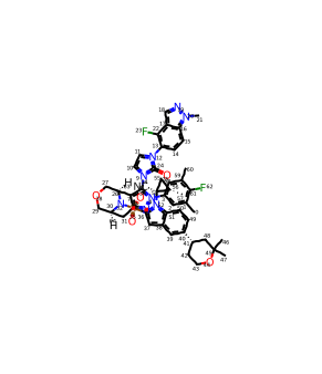 Cc1cc(-n2nc3c(c2-n2ccn(-c4ccc5c(cnn5C)c4F)c2=O)[C@@H]2COC[C@H](C3)N2S(=O)(=O)c2cc3cc([C@H]4CCOC(C)(C)C4)ccc3n2[C@@]2(C#N)C[C@@H]2C)cc(C)c1F